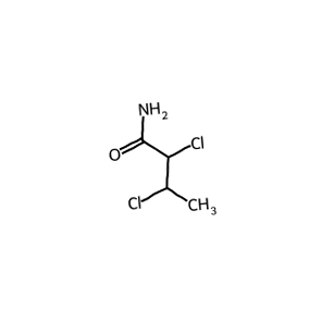 CC(Cl)C(Cl)C(N)=O